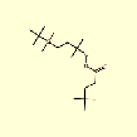 CC(C)(C)CCC(=O)OOC(C)(C)CC[Si](C)(C)C(C)(C)C